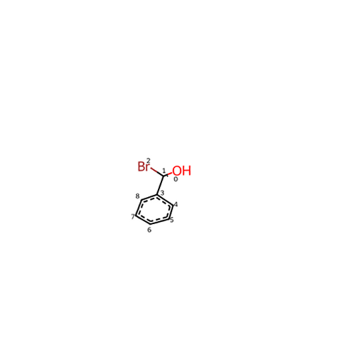 O[C](Br)c1ccccc1